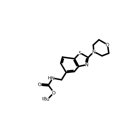 CC(C)(C)OC(=O)NCc1ccc2sc(N3CCOCC3)nc2c1